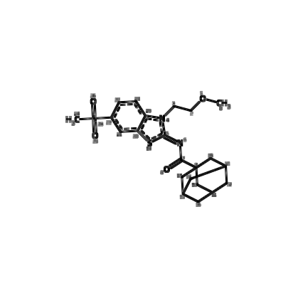 COCCn1/c(=N/C(=O)C23CC4CC(CC(C4)C2)C3)sc2cc(S(C)(=O)=O)ccc21